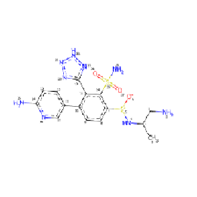 CC(CN)N[S+]([O-])c1ccc(-c2ccc(N)nc2)c(-c2nn[nH]n2)c1S(N)(=O)=O